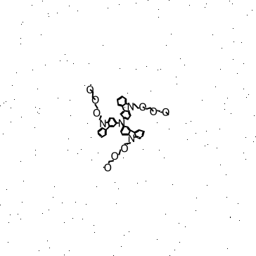 COCCOCCOCCn1c2ccccc2c2cc(N(c3ccc4c(c3)c3ccccc3n4CCOCCOCCOC)c3ccc4c(c3)c3ccccc3n4CCOCCOCCOC)ccc21